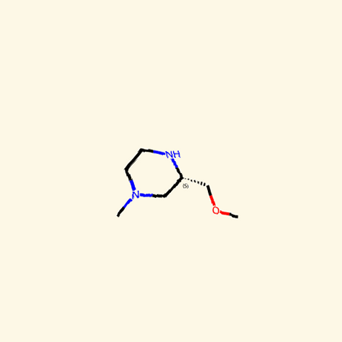 COC[C@@H]1CN(C)CCN1